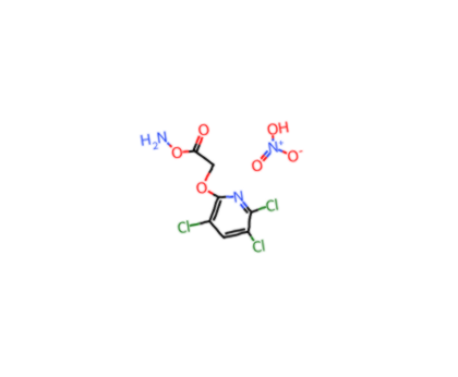 NOC(=O)COc1nc(Cl)c(Cl)cc1Cl.O=[N+]([O-])O